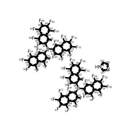 Fc1c(F)c(F)c2c(F)c(B(c3c(F)c(F)c4c(F)c(F)c(F)c(F)c4c3F)c3c(F)c(F)c4c(F)c(F)c(F)c(F)c4c3F)c(F)c(F)c2c1F.Fc1c(F)c(F)c2c(F)c(B(c3c(F)c(F)c4c(F)c(F)c(F)c(F)c4c3F)c3c(F)c(F)c4c(F)c(F)c(F)c(F)c4c3F)c(F)c(F)c2c1F.c1c[nH]cn1